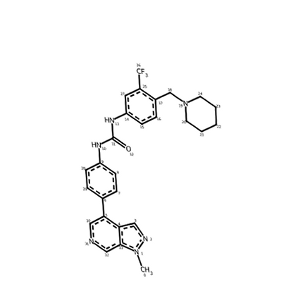 Cn1ncc2c(-c3ccc(NC(=O)Nc4ccc(CN5CCCCC5)c(C(F)(F)F)c4)cc3)cncc21